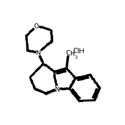 Cc1c2n(c3ccccc13)CCCC2N1CCOCC1.Cl